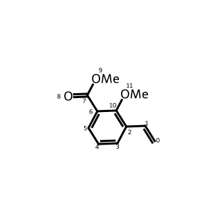 C=Cc1cccc(C(=O)OC)c1OC